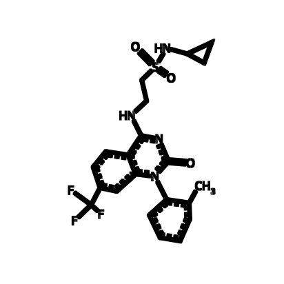 Cc1ccccc1-n1c(=O)nc(NCCS(=O)(=O)NC2CC2)c2ccc(C(F)(F)F)cc21